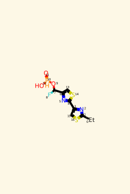 CCc1nc(-c2nc(C(F)O[PH](=O)O)cs2)cs1